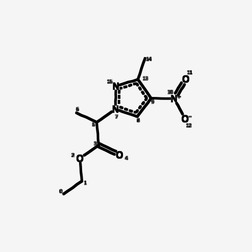 CCOC(=O)C(C)n1cc([N+](=O)[O-])c(C)n1